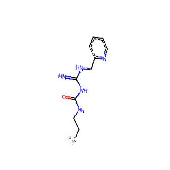 CCCNC(=O)NC(=N)NCc1ccccn1